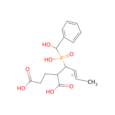 C/C=C/C(C(CCC(=O)O)C(=O)O)P(=O)(O)C(O)c1ccccc1